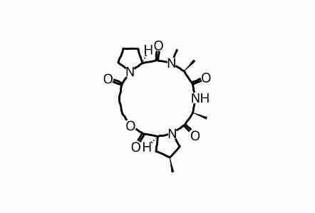 C[C@H]1C[C@H]2C(=O)OCCC(=O)N3CCC[C@H]3C(=O)N(C)[C@@H](C)C(=O)N[C@@H](C)C(=O)N2C1